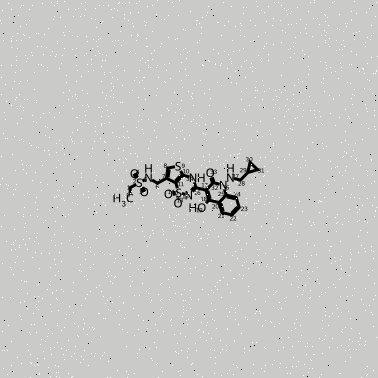 CCS(=O)(=O)NCc1csc2c1S(=O)(=O)N=C(c1c(O)c3ccccc3n(NCC3CC3)c1=O)N2